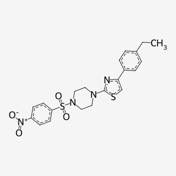 CCc1ccc(-c2csc(N3CCN(S(=O)(=O)c4ccc([N+](=O)[O-])cc4)CC3)n2)cc1